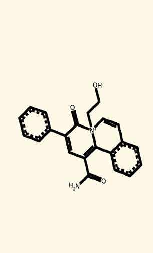 NC(=O)C1=C2c3ccccc3C=C[N+]2(CCO)C(=O)C(c2ccccc2)=C1